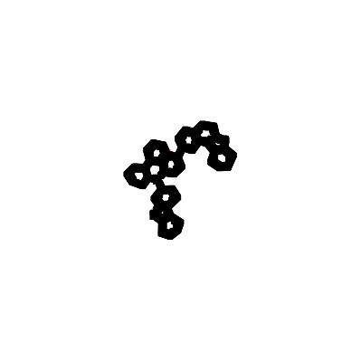 C1=CCC(N(c2ccc(-c3ccc4ccc5oc6ccccc6c5c4c3)cc2)c2ccc3c(c2)sc2ccccc23)C(c2ccccc2)=C1